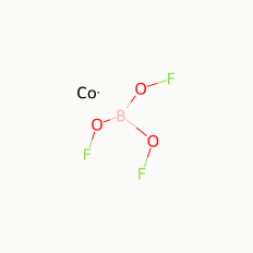 FOB(OF)OF.[Co]